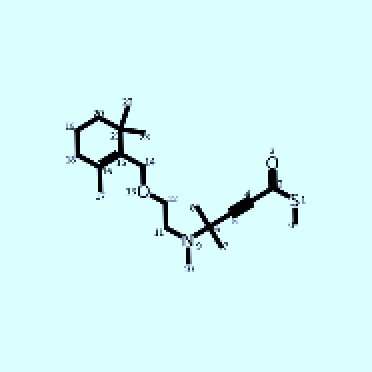 CSC(=O)C#CC(C)(C)N(C)CCOCC1=C(C)CCCC1(C)C